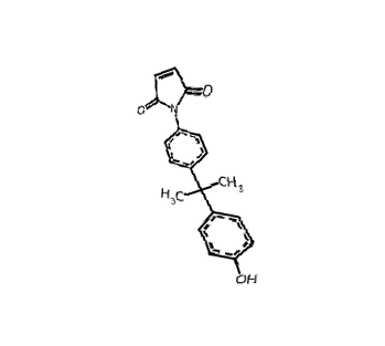 CC(C)(c1ccc(O)cc1)c1ccc(N2C(=O)C=CC2=O)cc1